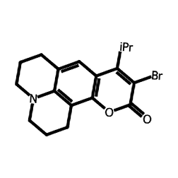 CC(C)c1c(Br)c(=O)oc2c3c4c(cc12)CCCN4CCC3